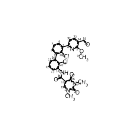 COc1nc(-c2cccc(-c3cccc(NC(=O)c4cn(C)c(=O)n(C)c4=O)c3Cl)c2Cl)ccc1C=O